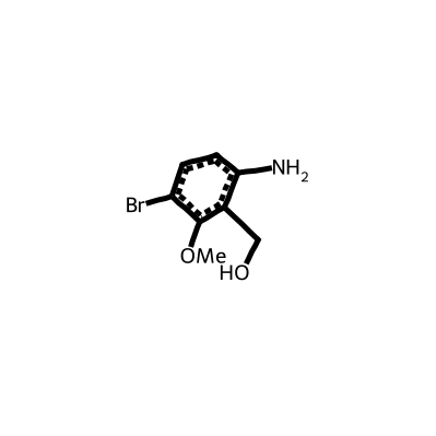 COc1c(Br)ccc(N)c1CO